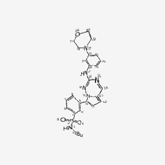 CC(C)(C)NS(=O)(=O)c1cccc(-c2ccc3cnc(Nc4cccc(N5CCOCC5)c4)nn23)c1